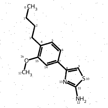 CCCCc1ccc(-c2csc(N)n2)cc1OC